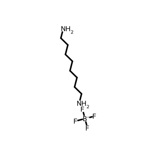 F[B-](F)(F)F.NCCCCCCCCN